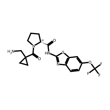 NCC1(C(=O)N2CCC[C@@H]2C(=O)Nc2nc3ccc(OC(F)(F)F)cc3s2)CC1